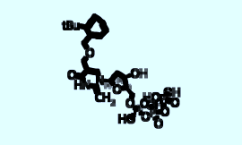 C=C1NC(=O)C(COCc2ccccc2C(C)(C)C)=CN1[C@H]1C[C@@H](O)[C@@H](COP(=O)(O)OP(=O)(O)OP(=O)(O)O)O1